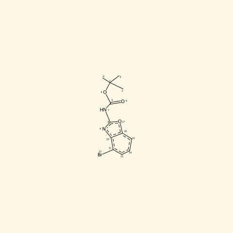 CC(C)(C)OC(=O)Nc1nc2c(Br)cccc2o1